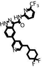 O=C(Nc1cccc(C(F)(F)F)n1)c1n[nH]c2ccc(-c3cncc(CC4CCC(F)(F)CC4)c3)cc12